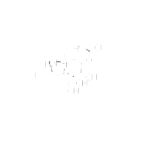 CCC1(C)CC(OC(C)=O)C(C)C(C)(CC)N1CC(C)O